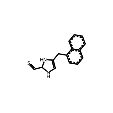 S=CC1NC=C(Cc2cccc3ccccc23)N1